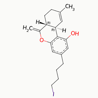 C=C1Oc2cc(CCCCI)cc(O)c2[C@@H]2C=C(C)CC[C@@H]12